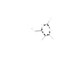 CCNc1nc(N)nc(C)c1I